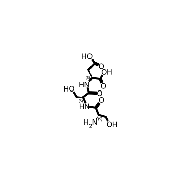 N[C@@H](CO)C(=O)N[C@@H](CO)C(=O)N[C@@H](CC(=O)O)C(=O)O